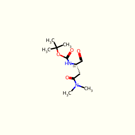 CN(C)C(=O)C[C@@H](C=O)NC(=O)OC(C)(C)C